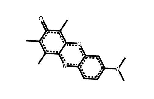 Cc1c2nc3ccc(N(C)C)cc3oc-2c(C)c(=O)c1C